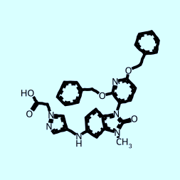 Cn1c(=O)n(-c2ccc(OCc3ccccc3)nc2OCc2ccccc2)c2ccc(Nc3cnn(CC(=O)O)c3)cc21